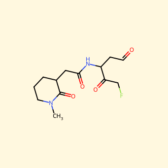 CN1CCCC(CC(=O)NC(CC=O)C(=O)CF)C1=O